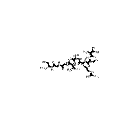 CC[C@H](C)[C@H](NC(=O)[C@@H](CCCNC(=N)N)NC(=O)[C@H](CC(C)C)NC(=O)[C@@H](N)[C@H](O)C(C)C)C(=O)N[C@H](C(=O)NCC(=O)NCC(=O)N[C@@H](CO)C(=O)O)[C@H](C)O